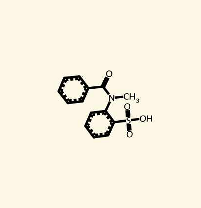 CN(C(=O)c1[c]cccc1)c1ccccc1S(=O)(=O)O